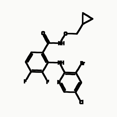 O=C(NOCC1CC1)c1ccc(F)c(F)c1Nc1ncc(Cl)cc1Br